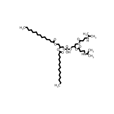 CCCCCCCCCCCCCC(=O)OCC(COP(=O)(O)OCC(COC(=O)CCNC(C)C)OC(=O)CCNC(C)C)OC(=O)CCCCCCCCCCCCC